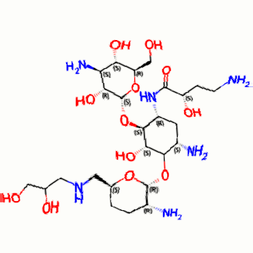 NCC[C@H](O)C(=O)N[C@@H]1C[C@H](N)C(O[C@H]2O[C@H](CNCC(O)CO)CC[C@H]2N)[C@H](O)[C@H]1O[C@H]1O[C@H](CO)[C@@H](O)[C@H](N)[C@H]1O